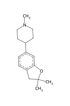 CN1CCC(c2ccc3c(c2)OC(C)(C)C3)CC1